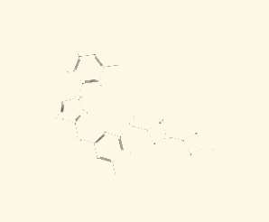 Cc1cc(Nc2ncn(-c3cc(F)cc(F)c3)n2)cc(NC2CN(C3COC3)C2)c1